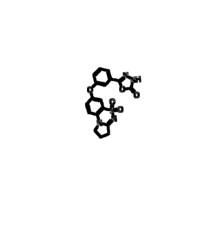 O=c1[nH]nc(-c2cccc(Oc3ccc4c(c3)S(=O)(=O)N=C3CCCN34)c2)o1